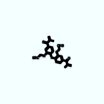 C=C(C)C(=O)c1ccc(Sc2ccc(C(=O)C(=C)C)cc2OCC=O)c(OCC=O)c1